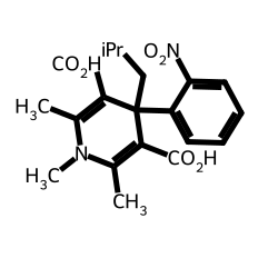 CC1=C(C(=O)O)C(CC(C)C)(c2ccccc2[N+](=O)[O-])C(C(=O)O)=C(C)N1C